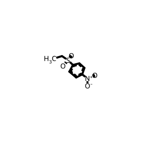 CCS(=O)(=O)c1ccc([N+](=O)[O-])cc1